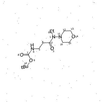 CCN(C(=O)CCNC(=O)OC(C)(C)C)N1CCOCC1